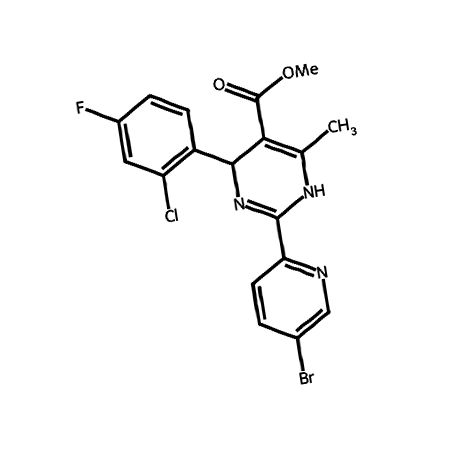 COC(=O)C1=C(C)NC(c2ccc(Br)cn2)=NC1c1ccc(F)cc1Cl